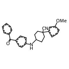 COc1cccc(C2(C#N)CCC(Nc3ccc(C(=O)c4ccccc4)cc3)CC2)c1